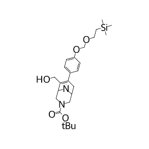 CN1C2CC(c3ccc(OCOCC[Si](C)(C)C)cc3)=C(CO)C1CN(C(=O)OC(C)(C)C)C2